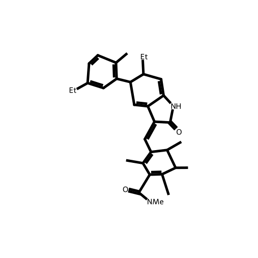 CCc1ccc(C)c(C2C=C3C(=CC2CC)NC(=O)/C3=C\C2=C(C)C(C(=O)NC)=C(C)C(C)C2C)c1